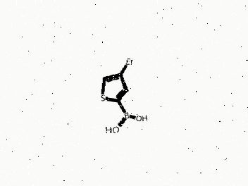 CCc1csc(B(O)O)c1